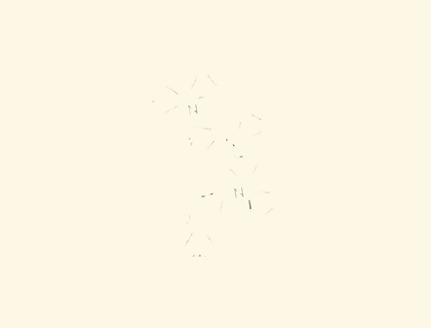 C1=CC2Oc3ccccc3C2C=C1n1c2ccccc2c2cc3c4ccccc4n(-c4cccc(-n5c6ccccc6c6ccccc65)c4)c3cc21